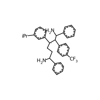 CC(C)c1cccc([C](CCC(N)c2ccccc2)C(c2ccc(C(F)(F)F)cc2)C(N)c2ccccc2)c1